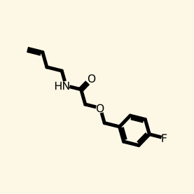 C=CCCNC(=O)COCc1ccc(F)cc1